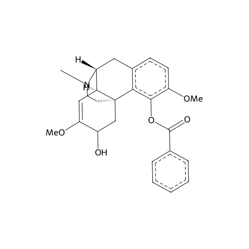 COC1=C[C@H]2[C@H]3Cc4ccc(OC)c(OC(=O)c5ccccc5)c4[C@@]2(CCN3C)CC1O